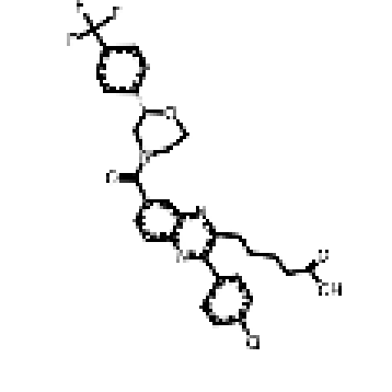 O=C(O)CCCCc1nc2cc(C(=O)N3CCO[C@@H](c4ccc(C(F)(F)F)cc4)C3)ccc2nc1-c1ccc(Cl)cc1